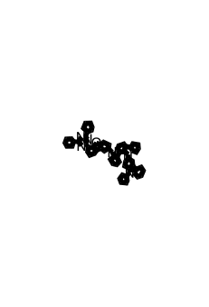 c1ccc(-c2nc(-c3ccccc3)nc(-c3cccc4c3oc3ccc(-n5c6ccccc6c6c5ccc5c7ccccc7n(-c7ccc8c(c7)c7ccccc7n8-c7ccccc7)c56)cc34)n2)cc1